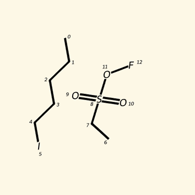 CCCCCI.CCS(=O)(=O)OF